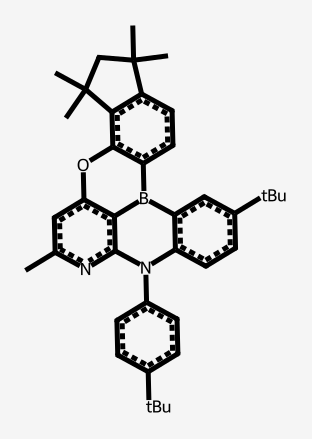 Cc1cc2c3c(n1)N(c1ccc(C(C)(C)C)cc1)c1ccc(C(C)(C)C)cc1B3c1ccc3c(c1O2)C(C)(C)CC3(C)C